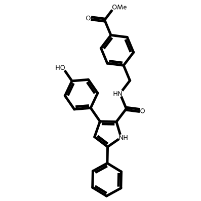 COC(=O)c1ccc(CNC(=O)c2[nH]c(-c3ccccc3)cc2-c2ccc(O)cc2)cc1